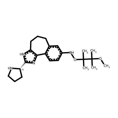 COC(C)(C)C(C)(C)OBc1ccc2c(c1)CCCc1[nH]c([C@@H]3CCCN3)nc1-2